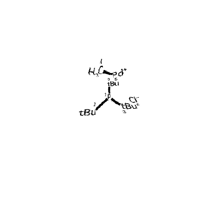 CC(C)(C)P(C(C)(C)C)C(C)(C)C.[CH3][Pd+].[Cl-]